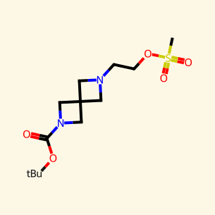 CC(C)(C)OC(=O)N1CC2(CN(CCOS(C)(=O)=O)C2)C1